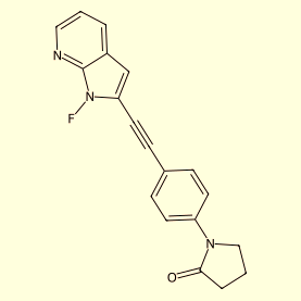 O=C1CCCN1c1ccc(C#Cc2cc3cccnc3n2F)cc1